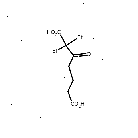 CCC(CC)(C(=O)O)C(=O)CCCC(=O)O